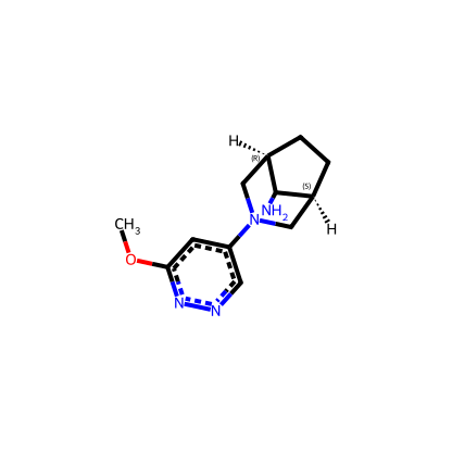 COc1cc(N2C[C@H]3CC[C@@H](C2)C3N)cnn1